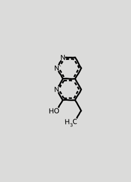 CCc1cc2ccnnc2nc1O